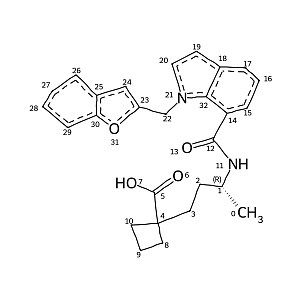 C[C@H](CCC1(C(=O)O)CCC1)NC(=O)c1cccc2ccn(Cc3cc4ccccc4o3)c12